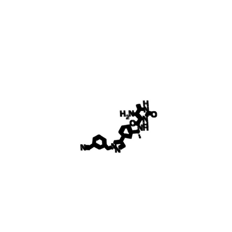 C=C1NC(=O)NC(C(=O)N[C@H](C)c2cccc(-c3cnn(Cc4cccc(C#N)c4)c3)c2)=C1N